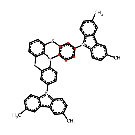 Cc1ccc2c(c1)c1cc(C)ccc1n2-c1ccc2c(c1)Sc1cccc3c1[Si]2(c1ccccc1)c1ccc(-n2c4ccc(C)cc4c4cc(C)ccc42)cc1S3